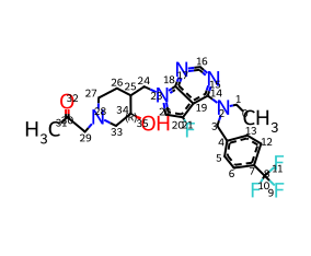 CCN(Cc1ccc(C(F)(F)F)cc1)c1ncnc2c1c(F)cn2CC1CCN(CC(C)=O)C[C@@H]1O